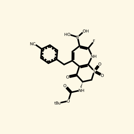 CC(C)(C)OC(=O)N[C@H]1CS(=O)(=O)C2=C(C1=O)C(Cc1ccc(C#N)cc1)=CC(B(O)O)=C(F)N2